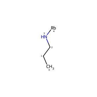 CCC[NH][Rb]